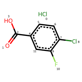 Cl.O=C(O)c1ccc(Cl)c(F)c1